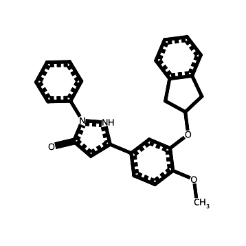 COc1ccc(-c2cc(=O)n(-c3ccccc3)[nH]2)cc1OC1Cc2ccccc2C1